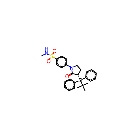 CNS(=O)(=O)c1ccc(N2CC[C@H]([Si](c3ccccc3)(c3ccccc3)C(C)(C)C)C2=O)cc1